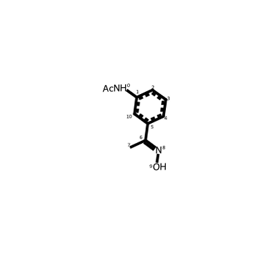 CC(=O)Nc1cccc(/C(C)=N/O)c1